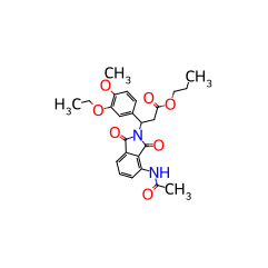 CCCOC(=O)CC(c1ccc(OC)c(OCC)c1)N1C(=O)c2cccc(NC(C)=O)c2C1=O